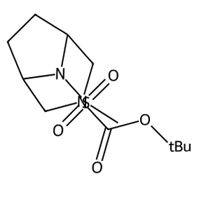 CC(C)(C)OC(=O)N1CC2CCC(C1)N2S(C)(=O)=O